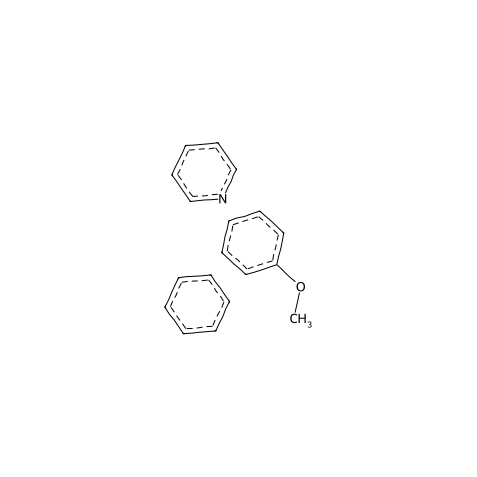 COc1ccccc1.c1ccccc1.c1ccncc1